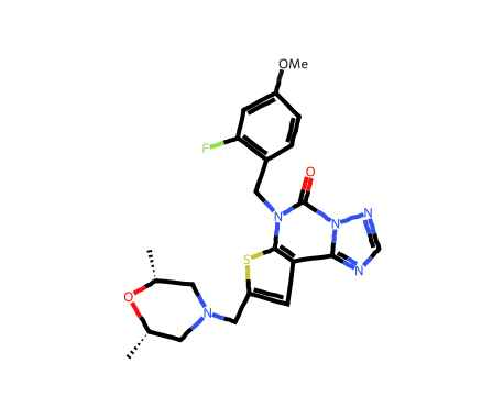 COc1ccc(Cn2c(=O)n3ncnc3c3cc(CN4C[C@@H](C)O[C@@H](C)C4)sc32)c(F)c1